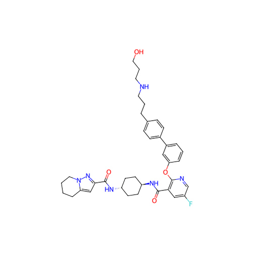 O=C(N[C@H]1CC[C@H](NC(=O)c2cc(F)cnc2Oc2cccc(-c3ccc(CCCNCCCO)cc3)c2)CC1)c1cc2n(n1)CCCC2